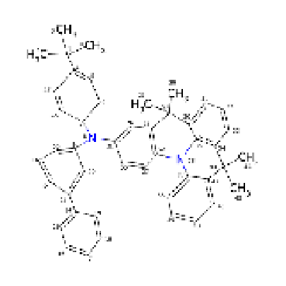 CC(C)(C)C1=CCC(N(c2cccc(-c3ccccc3)c2)c2ccc3c(c2)C(C)(C)c2cccc4c2N3c2ccccc2C4(C)C)C=C1